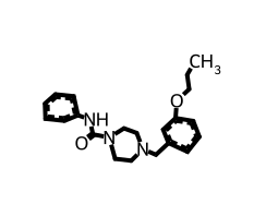 CCCOc1cccc(CN2CCN(C(=O)Nc3ccccc3)CC2)c1